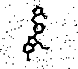 FCCn1c(-c2cncc(Cn3cncc3Cl)c2)nc2ccc(Br)cc21